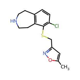 Cc1cc(CSc2c(Cl)ccc3c2CCNCC3)no1